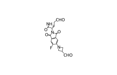 NC(=O)C(CCC=O)N1C(=O)c2cc(F)c(N3CC(C=O)C3)cc2C1=O